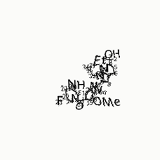 CCC(C)(O)c1ccc2cc(-c3nc4cc(C(=O)N5C[C@H](N)C[C@@H](F)C5)cc(OC)c4n3C)n(CC3CC3)c2n1